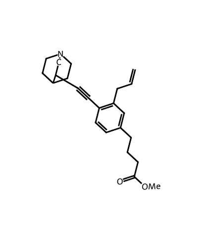 C=CCc1cc(CCCC(=O)OC)ccc1C#CC1CN2CCC1CC2